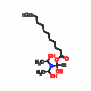 CCCCCCCCC=CCCCCCCCC(=O)OC(O)(CC)N(C(C)O)C(C)O